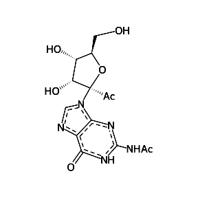 CC(=O)Nc1nc2c(ncn2[C@]2(C(C)=O)O[C@H](CO)[C@@H](O)[C@H]2O)c(=O)[nH]1